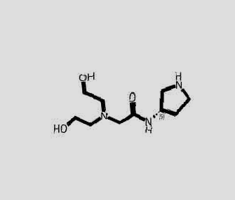 O=C(CN(CCO)CCO)N[C@H]1CCNC1